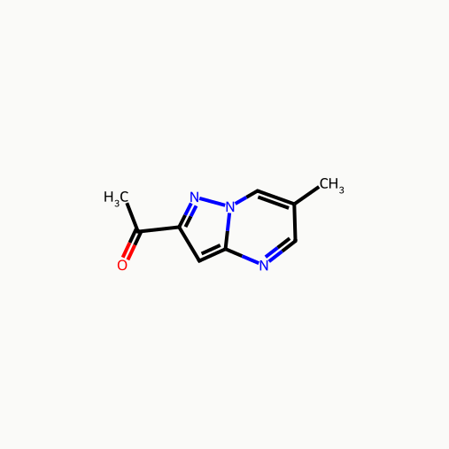 CC(=O)c1cc2ncc(C)cn2n1